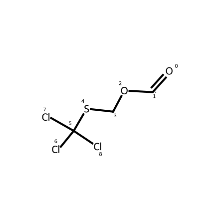 O=[C]OCSC(Cl)(Cl)Cl